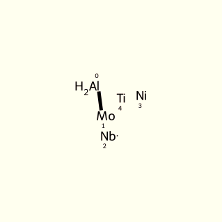 [AlH2][Mo].[Nb].[Ni].[Ti]